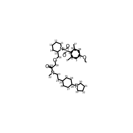 COc1cc(C)c(S(=O)(=O)N2CCCCC2COCC(=O)N(C)CCC2CCC(N3CCCC3)CC2)c(C)c1